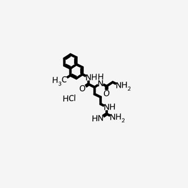 Cc1cc(NC(=O)C(CCCNC(=N)N)NC(=O)CN)cc2ccccc12.Cl